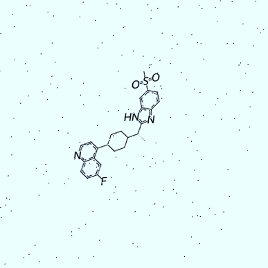 C[C@@H](c1nc2ccc(S(C)(=O)=O)cc2[nH]1)C1CCC(c2ccnc3ccc(F)cc23)CC1